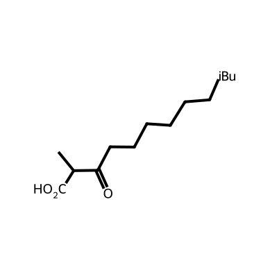 CCC(C)CCCCCCC(=O)C(C)C(=O)O